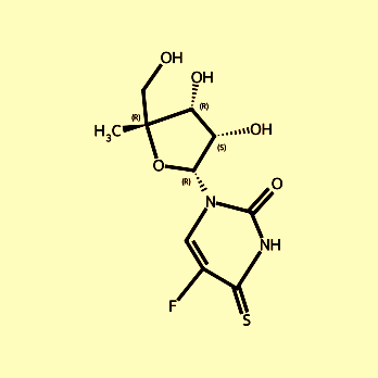 C[C@]1(CO)O[C@@H](n2cc(F)c(=S)[nH]c2=O)[C@@H](O)[C@H]1O